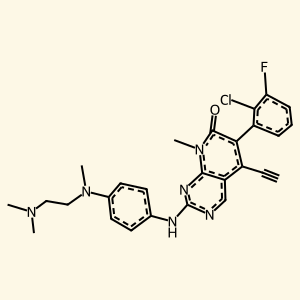 C#Cc1c(-c2cccc(F)c2Cl)c(=O)n(C)c2nc(Nc3ccc(N(C)CCN(C)C)cc3)ncc12